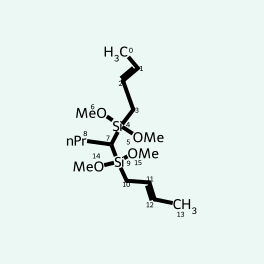 CC=CC[Si](OC)(OC)C(CCC)[Si](CC=CC)(OC)OC